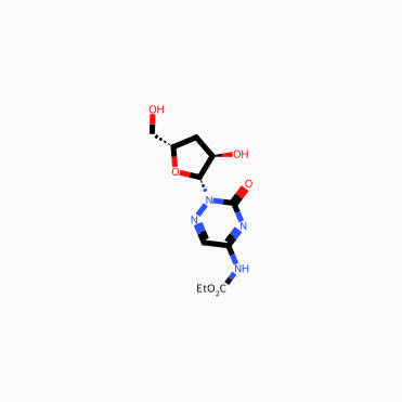 CCOC(=O)Nc1cnn([C@@H]2O[C@H](CO)C[C@H]2O)c(=O)n1